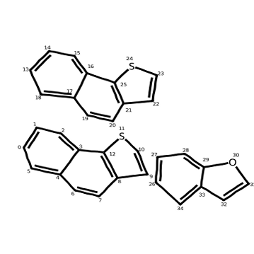 c1ccc2c(c1)ccc1ccsc12.c1ccc2c(c1)ccc1ccsc12.c1ccc2occc2c1